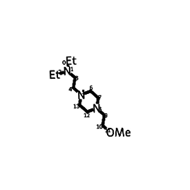 CCN(CC)CCN1CCN(CCOC)CC1